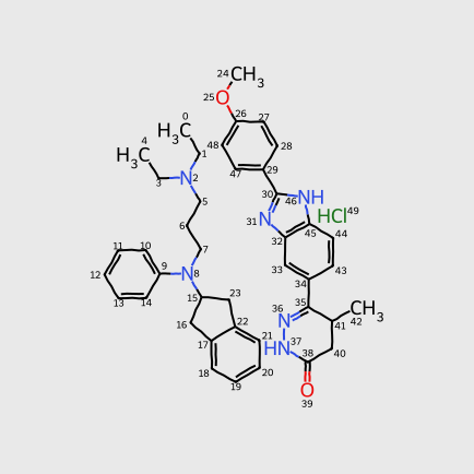 CCN(CC)CCCN(c1ccccc1)C1Cc2ccccc2C1.COc1ccc(-c2nc3cc(C4=NNC(=O)CC4C)ccc3[nH]2)cc1.Cl